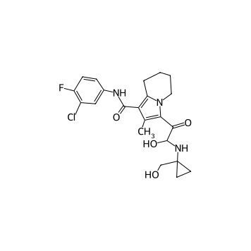 Cc1c(C(=O)Nc2ccc(F)c(Cl)c2)c2n(c1C(=O)C(O)NC1(CO)CC1)CCCC2